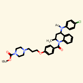 CC(=O)N(c1ccc(Cl)cc1)C1CC(C)N(C(=O)c2ccc(OCCCN3CCN(C(=O)OC(C)(C)C)CC3)cc2)c2ccccc21